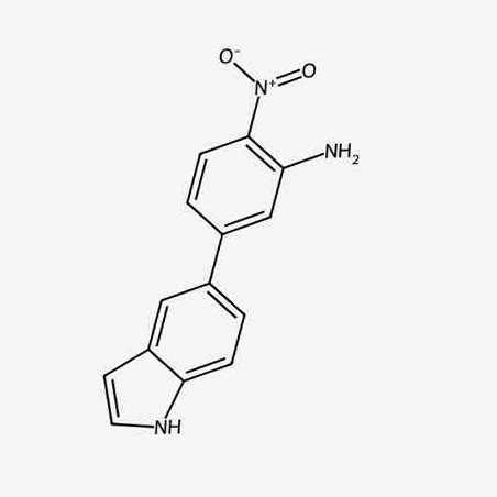 Nc1cc(-c2ccc3[nH]ccc3c2)ccc1[N+](=O)[O-]